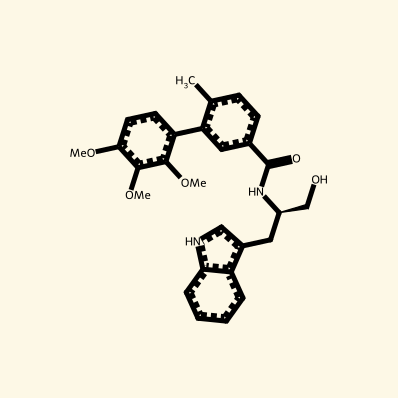 COc1ccc(-c2cc(C(=O)N[C@@H](CO)Cc3c[nH]c4ccccc34)ccc2C)c(OC)c1OC